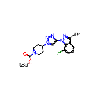 CC(C)c1nn(-c2cn(C3CCN(C(=O)OC(C)(C)C)CC3)nn2)c2c(F)cccc12